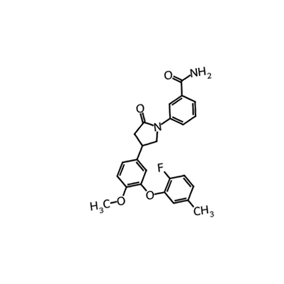 COc1ccc(C2CC(=O)N(c3cccc(C(N)=O)c3)C2)cc1Oc1cc(C)ccc1F